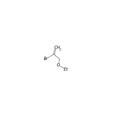 C=C(Br)CO[CH]C